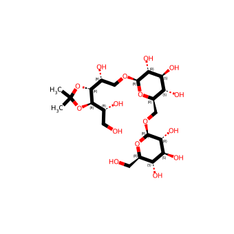 CC1(C)O[C@H]([C@H](O)CO)[C@@H]([C@H](O)CO[C@@H]2O[C@H](CO[C@@H]3O[C@H](CO)[C@@H](O)[C@H](O)[C@H]3O)[C@@H](O)[C@H](O)[C@H]2O)O1